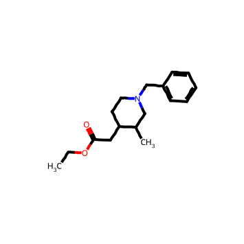 CCOC(=O)CC1CCN(Cc2ccccc2)CC1C